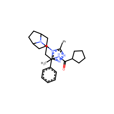 Cc1nnc(C(C)C)n1C1CC2CCC(C1)N2CCC(NC(=O)C1CCCC1)c1ccccc1